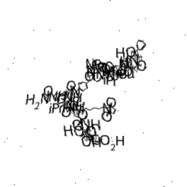 CC[C@H](C)[C@@H]([C@@H](CC(=O)N1CCC[C@H]1[C@H](OC)[C@@H](C)C(=O)N[C@H](C)[C@@H](O)c1ccccc1)OC)N(C)C(=O)[C@@H](NC(=O)[C@H](C(C)C)N(C)C(=O)OCc1ccc(NC(=O)[C@H](CCCNC(N)=O)NC(=O)[C@@H](NC(=O)[C@H](CCC(=O)NC2O[C@H](C(=O)O)[C@@H](O)[C@H]2O)NC(=O)CCCCCN2C(=O)C=CC2=O)C(C)C)cc1)C(C)C